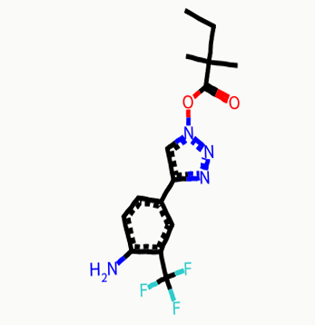 CCC(C)(C)C(=O)On1cc(-c2ccc(N)c(C(F)(F)F)c2)nn1